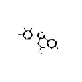 O=C(Cc1c(-c2ccc(C(=O)O)cc2)n[nH]c1-c1ccc(Cl)c(O)c1F)NO